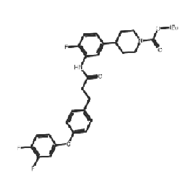 CC(C)(C)OC(=O)N1CCC(c2ccc(F)c(NC(=O)CCc3ccc(Oc4ccc(F)c(F)c4)cc3)c2)CC1